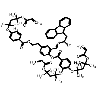 C=CC(=O)OC(C)(C)CC(C)(C)Oc1ccc(C(=O)OCCc2ccc(OC(=O)c3ccc(OC(C)(C)CC(C)(C)OC(=O)C=C)c(OC(C)(C)CC(C)(C)OC(=O)C=C)c3)c(/C=N/C(CC)CC3C4C=CC=CC4C4C=CC=CC43)c2)cc1